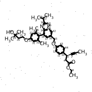 CC#C[C@@H](CC(=O)OCC)c1ccc(OCc2cc(-c3c(C)cc(OCCC(C)(C)O)cc3C)c3nc(C(C)C)nn3c2)cc1